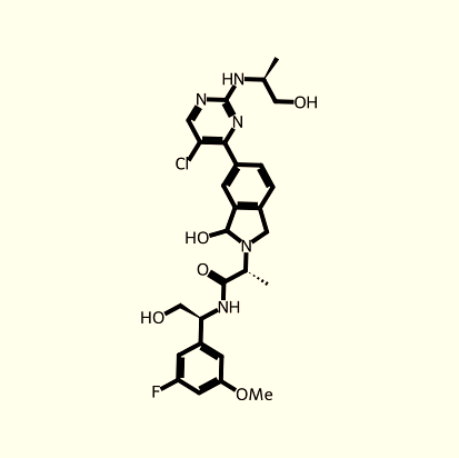 COc1cc(F)cc([C@@H](CO)NC(=O)[C@@H](C)N2Cc3ccc(-c4nc(N[C@@H](C)CO)ncc4Cl)cc3C2O)c1